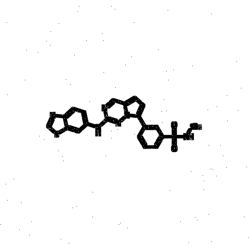 CC(C)(C)NS(=O)(=O)c1cccc(-c2ccc3cnc(Nc4ccc5ncsc5c4)nn23)c1